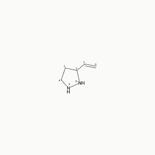 C=CC1CCNN1